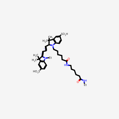 CCNC(=O)CCCCCNC(=O)CCCCCN1c2ccc(S(=O)(=O)O)cc2C(C)(C)C1/C=C/C=C1\N(CC)c2ccc(S(=O)(=O)O)cc2C1(C)C